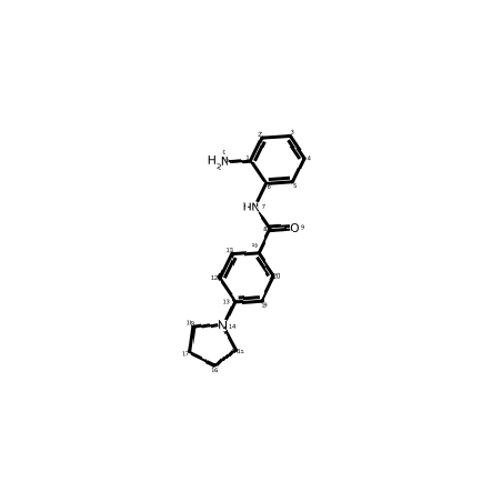 Nc1ccccc1NC(=O)c1ccc(N2CCCC2)cc1